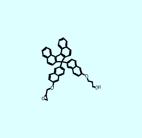 OCCCOc1ccc2cc(C3(c4ccc5cc(OCC6CO6)ccc5c4)c4ccc5ccccc5c4-c4c3ccc3ccccc43)ccc2c1